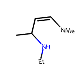 CCNC(C)/C=C\NC